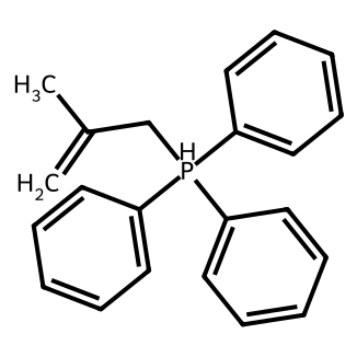 C=C(C)C[PH](c1ccccc1)(c1ccccc1)c1ccccc1